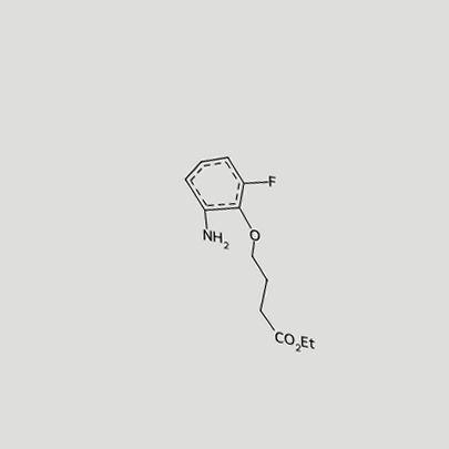 CCOC(=O)CCCOc1c(N)cccc1F